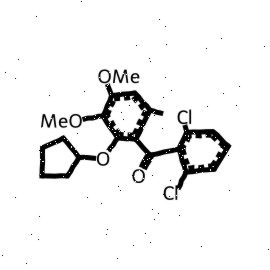 COc1cc(C)c(C(=O)c2c(Cl)cccc2Cl)c(OC2CCCC2)c1OC